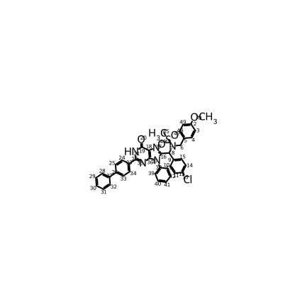 COc1ccc(CN(C(c2ccc(Cl)cc2)c2nc3c(=O)[nH]c(-c4ccc(-c5ccccc5)cc4)nc3n2-c2ccccc2)S(C)(=O)=O)cc1